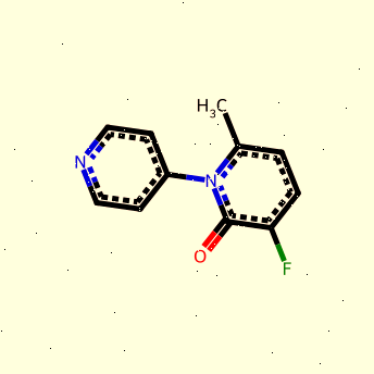 Cc1ccc(F)c(=O)n1-c1ccncc1